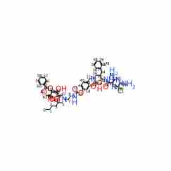 CCCCCCN(CCNC(=O)Oc1ccc(CN(CC(CNC(=O)c2nc(Cl)c(N)nc2N)Cc2ccccc2C)C(=O)O)cc1)C[C@H](O)[C@@H](O)[C@@H]1O[C@H](c2ccccc2)OC[C@H]1O